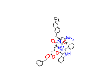 CCCN(C(=O)[C@H](CCCC(=O)OCc1ccccc1)NC(=O)c1c(Cc2ccccc2)[nH]c2ccccc12)[C@H](CC(N)=O)Cc1ccc2cc(CC)ccc2c1